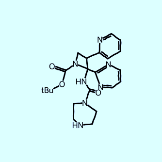 CC(C)(C)OC(=O)N1CC(c2ccccn2)C1(NC(=O)N1CCNCC1)c1ncccn1